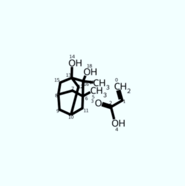 C=CC(=O)O.CC12CC3CC(C1)CC(O)(C3)C2(C)O